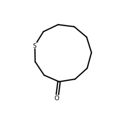 O=C1CCCCCCCSCC1